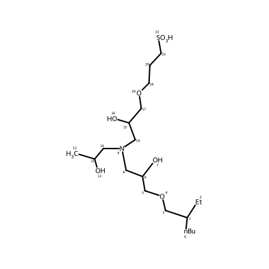 CCCCC(CC)COCC(O)CN(CC(C)O)CC(O)COCCCS(=O)(=O)O